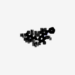 C=C1C(=O)C(=C)[C@H](C[C@H](O)[C@@H](/C(O)=C(/C(N)=O)C(=O)CC)N(C)C)C/C1=C(/C=C(\C)c1ccccc1)N(C)C